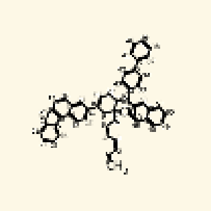 C=C/C=C\C=C/CC1(C)CC(c2ccc3c(ccc4oc5ccccc5c43)c2)=CCC1N(c1ccc(-c2ccccc2)cc1)c1ccc2ccccc2c1